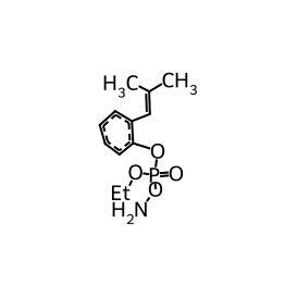 CCOP(=O)(ON)Oc1ccccc1C=C(C)C